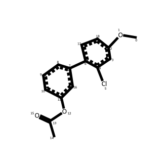 COc1[c]c(Cl)c(-c2cccc(OC(C)=O)c2)cc1